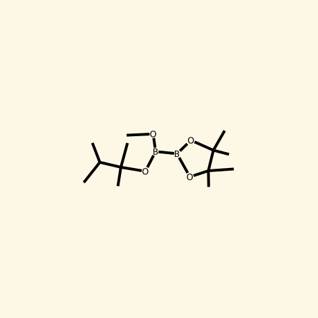 COB(OC(C)(C)C(C)C)B1OC(C)(C)C(C)(C)O1